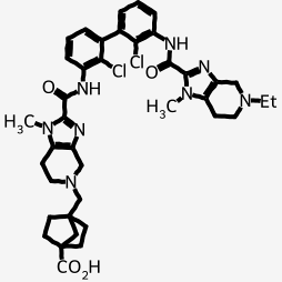 CCN1CCc2c(nc(C(=O)Nc3cccc(-c4cccc(NC(=O)c5nc6c(n5C)CCN(CC57CCC(C(=O)O)(CC5)C7)C6)c4Cl)c3Cl)n2C)C1